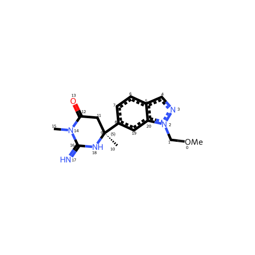 COCn1ncc2ccc([C@]3(C)CC(=O)N(C)C(=N)N3)cc21